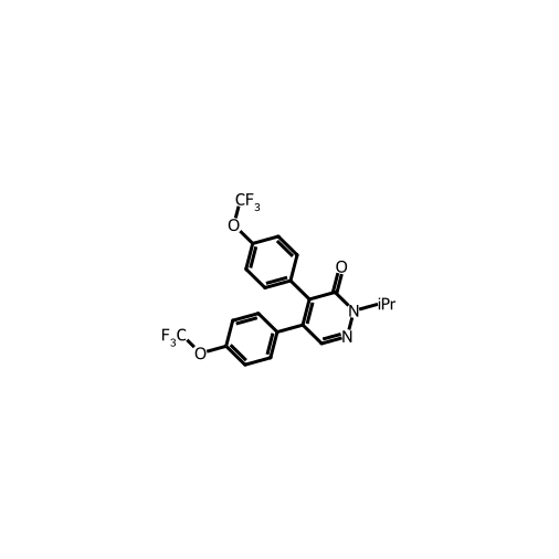 CC(C)n1ncc(-c2ccc(OC(F)(F)F)cc2)c(-c2ccc(OC(F)(F)F)cc2)c1=O